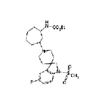 CCOC(=O)NC1CCCCC(N2CCC3(CC2)CN(S(C)(=O)=O)c2ccc(F)cc23)C1